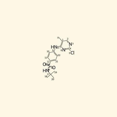 Cc1cnc(Cl)nc1Nc1ccc(S(=O)(=O)NC(C)(C)C)cc1